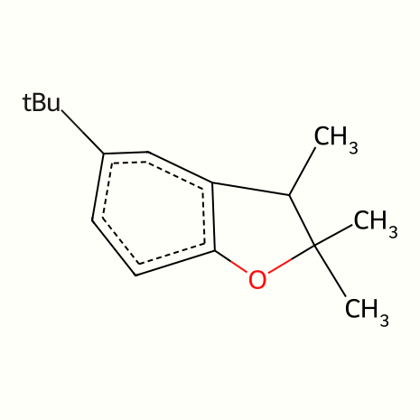 CC1c2cc(C(C)(C)C)ccc2OC1(C)C